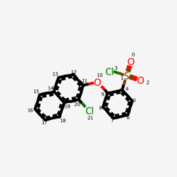 O=S(=O)(Cl)c1ccccc1Oc1ccc2ccccc2c1Cl